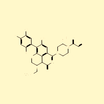 C=CC(=O)N1[C@H](C)CN(C2=NC(=O)C3c4c2cc(C)c(-c2cc(Cl)c(F)cc2F)c4SC[C@@H]3COC)C[C@@H]1C